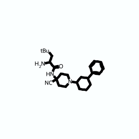 CC(C)(C)CC(N)C(=O)NC1(C#N)CCN(C2CCCC(c3ccccc3)C2)CC1